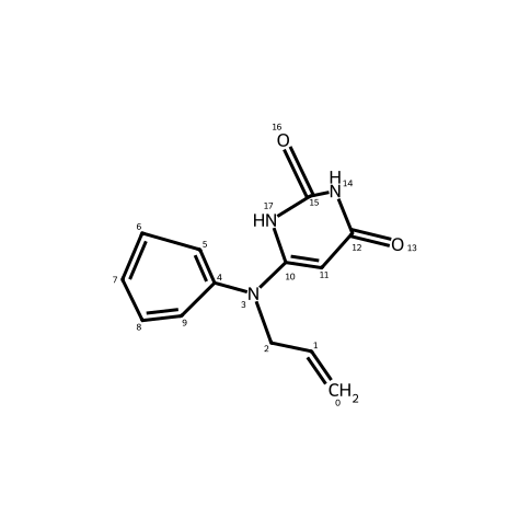 C=CCN(c1ccccc1)c1cc(=O)[nH]c(=O)[nH]1